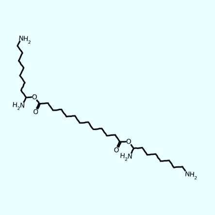 NCCCCCCCC(N)OC(=O)CCCCCCCCCCCC(=O)OC(N)CCCCCCCN